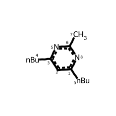 CCCCc1cc(CCCC)nc(C)n1